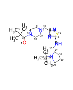 CC(C)(C)C(=O)N1CCN(Cc2nsc(NC[C@@H]3CCCN3C(C)(C)C)n2)CC1